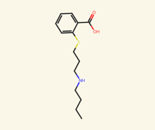 CCCCNCCCSc1ccccc1C(=O)O